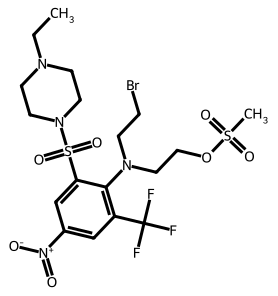 CCN1CCN(S(=O)(=O)c2cc([N+](=O)[O-])cc(C(F)(F)F)c2N(CCBr)CCOS(C)(=O)=O)CC1